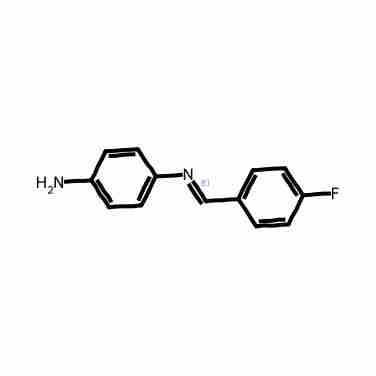 Nc1ccc(/N=C/c2ccc(F)cc2)cc1